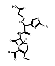 CSC1=C(C(=O)O)N2C(=O)C(NC(=O)C(NOCC(=O)O)c3csc(N)n3)[C@H]2SC1